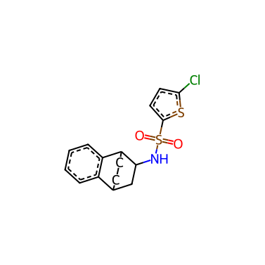 O=S(=O)(NC1CC2CCC1c1ccccc12)c1ccc(Cl)s1